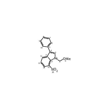 COCn1cc(-c2ccccc2)c2cccc([N+](=O)[O-])c21